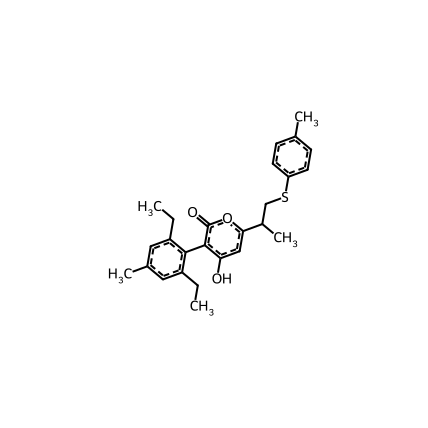 CCc1cc(C)cc(CC)c1-c1c(O)cc(C(C)CSc2ccc(C)cc2)oc1=O